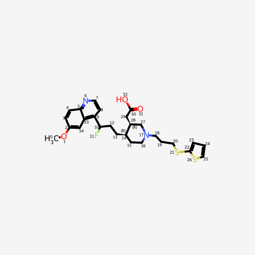 COc1ccc2nccc(C(F)CC[C@@H]3CCN(CCCSc4cccs4)C[C@@H]3CC(=O)O)c2c1